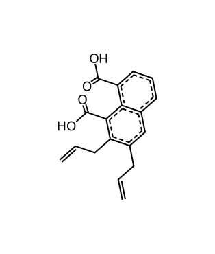 C=CCc1cc2cccc(C(=O)O)c2c(C(=O)O)c1CC=C